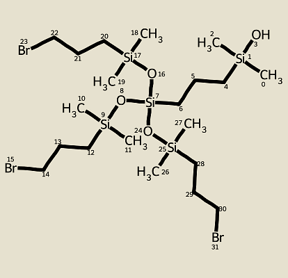 C[Si](C)(O)CCC[Si](O[Si](C)(C)CCCBr)(O[Si](C)(C)CCCBr)O[Si](C)(C)CCCBr